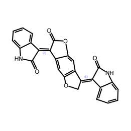 O=C1Nc2ccccc2/C1=C1\COc2cc3c(cc21)OC(=O)/C3=C1/C(=O)Nc2ccccc21